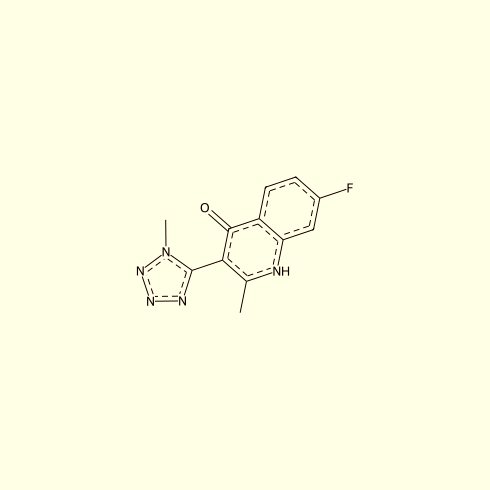 Cc1[nH]c2cc(F)ccc2c(=O)c1-c1nnnn1C